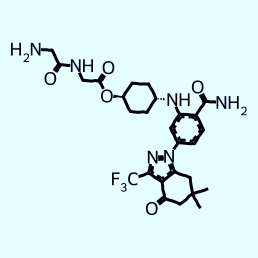 CC1(C)CC(=O)c2c(C(F)(F)F)nn(-c3ccc(C(N)=O)c(N[C@H]4CC[C@H](OC(=O)CNC(=O)CN)CC4)c3)c2C1